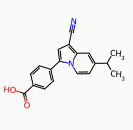 CC(C)c1ccn2c(-c3ccc(C(=O)O)cc3)cc(C#N)c2c1